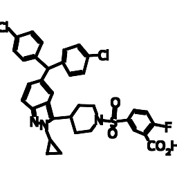 O=C(O)c1cc(S(=O)(=O)N2CCC(c3c4cc(C(c5ccc(Cl)cc5)c5ccc(Cl)cc5)ccc4nn3C3CC3)CC2)ccc1F